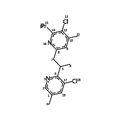 Cc1cnc(C(C)Cc2cc(C)c(Cl)c(C(C)C)n2)c(Cl)c1